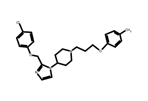 Cc1ccc(OCCCN2CCC(n3ccnc3COc3ccc(Cl)cc3)CC2)cc1